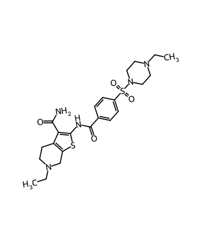 CCN1CCN(S(=O)(=O)c2ccc(C(=O)Nc3sc4c(c3C(N)=O)CCN(CC)C4)cc2)CC1